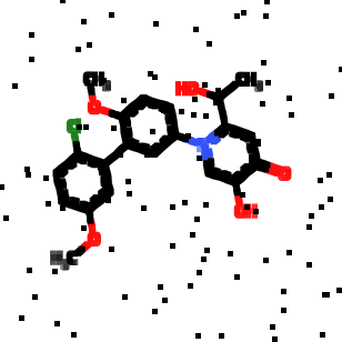 COc1ccc(Cl)c(-c2cc(-n3cc(O)c(=O)cc3C(C)O)ccc2OC)c1